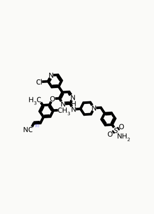 Cc1cc(/C=C/C#N)cc(C)c1Oc1nc(NC2CCN(Cc3ccc(S(N)(=O)=O)cc3)CC2)ncc1-c1ccnc(Cl)c1